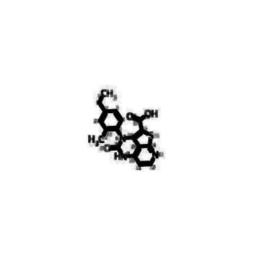 CCc1ccc(N2C(=O)Nc3ccnc4sc(C(=O)O)c2c34)c(C)c1